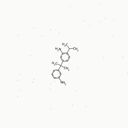 CC(C)c1ccc(C(C)(C)c2cccc(N)c2)cc1N